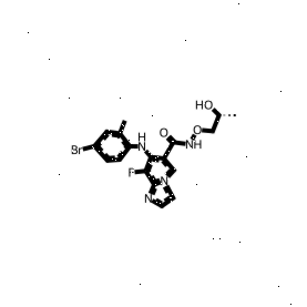 Cc1cc(Br)ccc1Nc1c(C(=O)NOC[C@@H](C)O)cn2ccnc2c1F